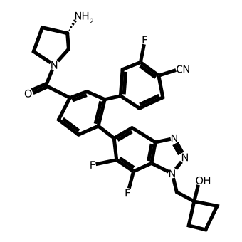 N#Cc1ccc(-c2cc(C(=O)N3CC[C@H](N)C3)ccc2-c2cc3nnn(CC4(O)CCC4)c3c(F)c2F)cc1F